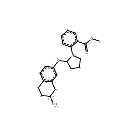 COC(=O)c1ccccc1N1CCCC1Oc1ccc2c(c1)C[C@@H](N)CC2